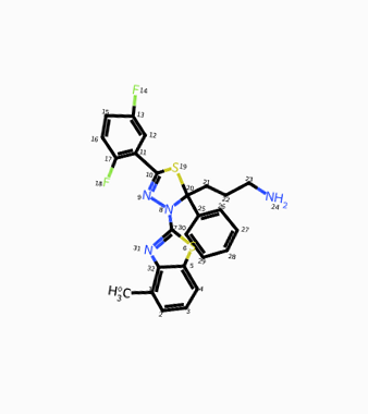 Cc1cccc2sc(N3N=C(c4cc(F)ccc4F)SC3(CCCN)c3ccccc3)nc12